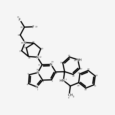 CC(NC1(c2cc3nccn3c(N3CC4CC3CN4CC(F)F)n2)C=CNC=C1)c1ccccc1